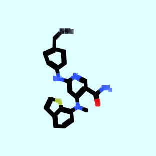 CC(=O)NCc1ccc(Nc2cc(N(C)c3cccc4ccsc34)c(C(N)=O)cn2)cc1